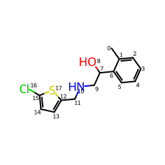 Cc1ccccc1C(O)CNCc1ccc(Cl)s1